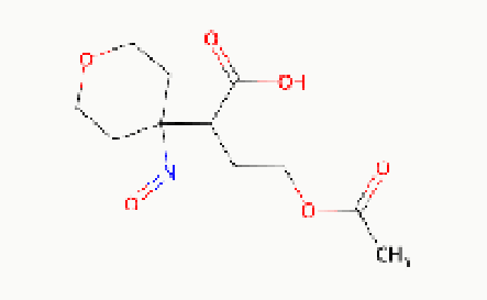 CC(=O)OCCC(C(=O)O)C1(N=O)CCOCC1